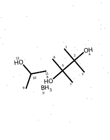 B.CC(C)(O)C(C)(C)O.CC(C)O